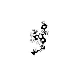 [2H]C([2H])([2H])[C@@H]1CN(c2nc(-n3ccc(OCCC4(C(F)(F)F)CC4)n3)ccc2C(=O)NS(=O)(=O)c2ccc(O)cc2)C(C)(C)C1([2H])[2H]